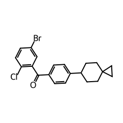 O=C(c1ccc(C2CCC3(CC2)CC3)cc1)c1cc(Br)ccc1Cl